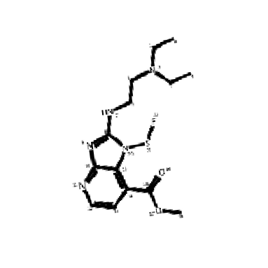 CCN(CC)CCNc1nc2nccc(C(=O)OC)c2n1SF